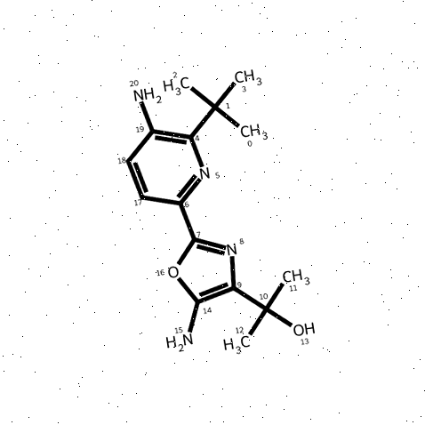 CC(C)(C)c1nc(-c2nc(C(C)(C)O)c(N)o2)ccc1N